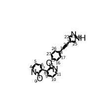 COc1ncccc1-c1cccnc1Oc1ccc(C#Cc2cn[nH]c2)cc1